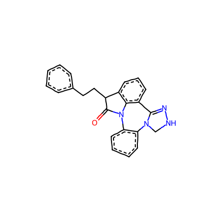 O=C1C(CCc2ccccc2)c2cccc3c2N1c1ccccc1N1CNN=C31